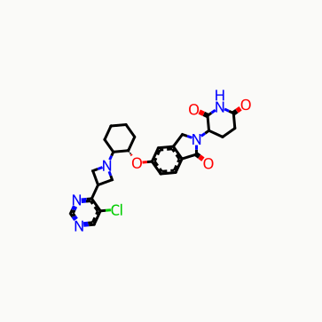 O=C1CCC(N2Cc3cc(O[C@H]4CCCCC4N4CC(c5ncncc5Cl)C4)ccc3C2=O)C(=O)N1